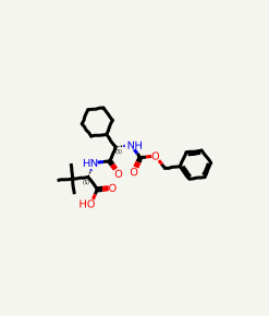 CC(C)(C)[C@H](NC(=O)[C@@H](NC(=O)OCc1ccccc1)C1CCCCC1)C(=O)O